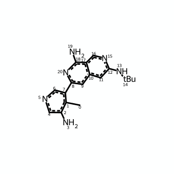 Cc1c(N)cncc1-c1cc2cc(NC(C)(C)C)ncc2c(N)n1